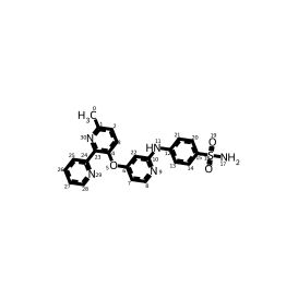 Cc1ccc(Oc2ccnc(Nc3ccc(S(N)(=O)=O)cc3)c2)c(-c2ccccn2)n1